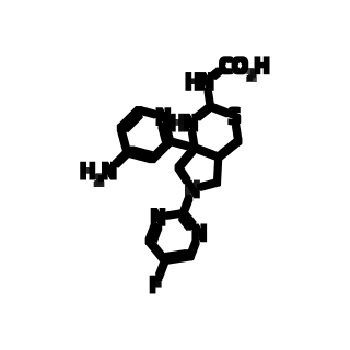 Nc1ccnc(C23CN(c4ncc(F)cn4)CC2CSC(NC(=O)O)N3)c1